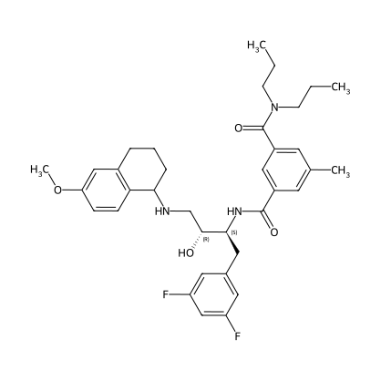 CCCN(CCC)C(=O)c1cc(C)cc(C(=O)N[C@@H](Cc2cc(F)cc(F)c2)[C@H](O)CNC2CCCc3cc(OC)ccc32)c1